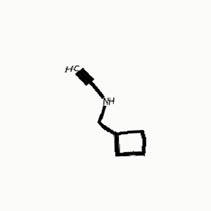 C#CNCC1CCC1